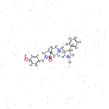 COc1ccc(CN2CCC3(CCN(CC4CN(C)CC4c4ccccc4)CC3)C2=O)cc1